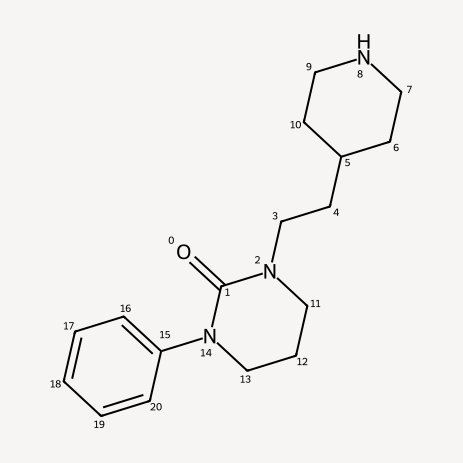 O=C1N(CCC2CCNCC2)CCCN1c1ccccc1